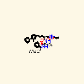 C=CCONC(=O)C[C@@H](CCCc1ccc(-c2ccccc2)c(C)c1)C(=O)N[C@H](C(=O)N[C@H](COC)c1ccccc1)C(C)(C)C